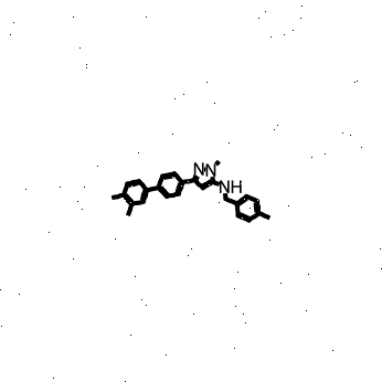 Cc1ccc(CNc2cc(-c3ccc(-c4ccc(C)c(C)c4)cc3)nn2C)cc1